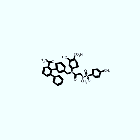 Cc1ccc(S(=O)(=O)N(C)CC(=O)N(Cc2cccc(-c3c(C(N)=O)cccc3-c3ccccc3)c2)c2ccc(C(=O)O)c(O)c2)cc1